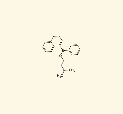 CN(C)CCOB(c1ccccc1)c1cccc2ccccc12